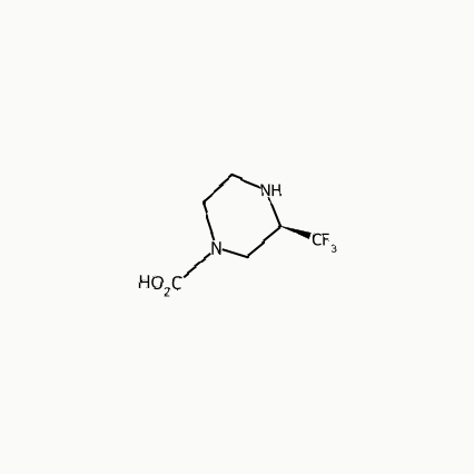 O=C(O)N1CCN[C@@H](C(F)(F)F)C1